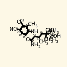 Cc1c(N[C@@H](C(N)=O)[C@@H](C)CC(C)(C)[Si](C)(C)O)ccc(C#N)c1Cl